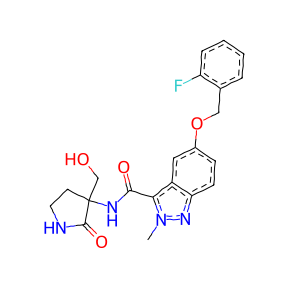 Cn1nc2ccc(OCc3ccccc3F)cc2c1C(=O)NC1(CO)CCNC1=O